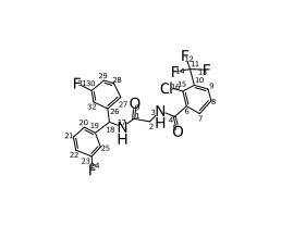 O=C(CNC(=O)c1cccc(C(F)(F)F)c1Cl)NC(c1cccc(F)c1)c1cccc(F)c1